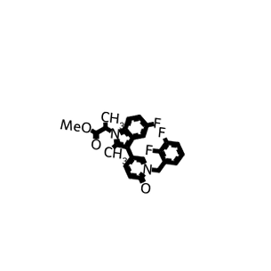 COC(=O)C(C)n1c(C)c(-c2ccc(=O)n(Cc3cccc(F)c3F)c2)c2cc(F)ccc21